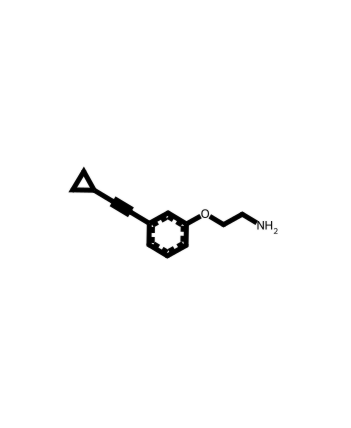 NCCOc1cccc(C#CC2CC2)c1